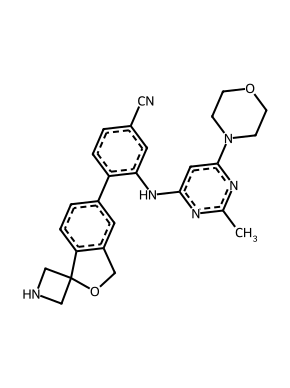 Cc1nc(Nc2cc(C#N)ccc2-c2ccc3c(c2)COC32CNC2)cc(N2CCOCC2)n1